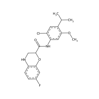 COc1cc(NC(=O)C2CNc3ccc(F)cc3O2)c(Cl)cc1C(C)C